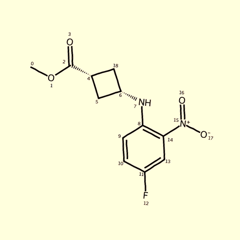 COC(=O)[C@H]1C[C@@H](Nc2ccc(F)cc2[N+](=O)[O-])C1